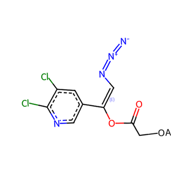 CC(=O)OCC(=O)O/C(=C/N=[N+]=[N-])c1cnc(Cl)c(Cl)c1